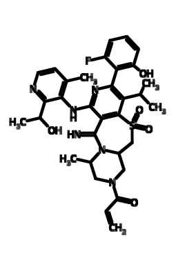 C=CC(=O)N1CC(C)N2C(=N)c3c(Nc4c(C)ccnc4C(C)O)nc(-c4c(O)cccc4F)c(C(C)C)c3S(=O)(=O)CC2C1